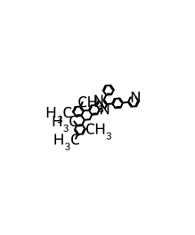 Cc1cc(C)c(C2Cc3cc4nc(-c5ccc(-c6cccnc6)cc5)c(-c5ccccc5)nc4cc3-c3c(C)cc(C)cc32)c(C)c1